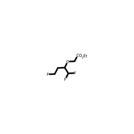 CCOC(=O)COC(CCF)C(F)F